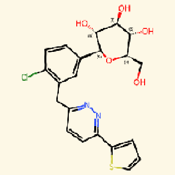 OC[C@H]1O[C@@H](c2ccc(Cl)c(Cc3ccc(-c4cccs4)nn3)c2)[C@H](O)[C@@H](O)[C@@H]1O